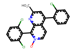 O=C(O)c1cc(-c2ccccc2Cl)c2cc[n+]([O-])c(-c3c(Cl)cccc3Cl)c2n1